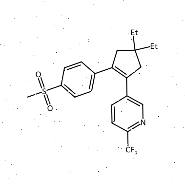 CCC1(CC)CC(c2ccc(S(C)(=O)=O)cc2)=C(c2ccc(C(F)(F)F)nc2)C1